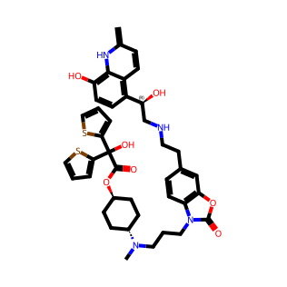 C=C1C=Cc2c([C@@H](O)CNCCc3ccc4c(c3)oc(=O)n4CCCN(C)[C@H]3CC[C@H](OC(=O)C(O)(c4cccs4)c4cccs4)CC3)ccc(O)c2N1